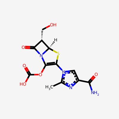 Cc1nc(C(N)=O)cn1C1=C(OC(=O)O)N2C(=O)[C@H](CO)[C@H]2S1